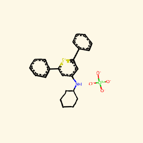 [O-][Cl+3]([O-])([O-])[O-].c1ccc(-c2cc(NC3CCCCC3)cc(-c3ccccc3)[s+]2)cc1